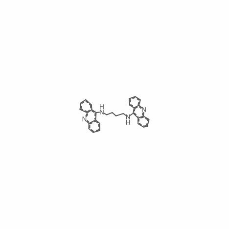 c1ccc2c(NCCCCNc3c4ccccc4nc4ccccc34)c3ccccc3nc2c1